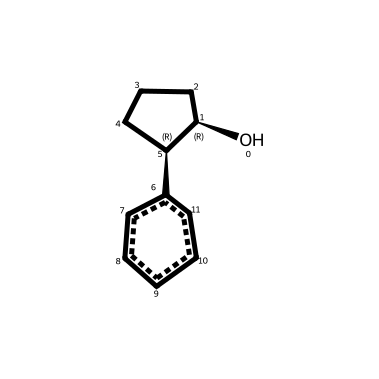 O[C@@H]1CCC[C@@H]1c1ccccc1